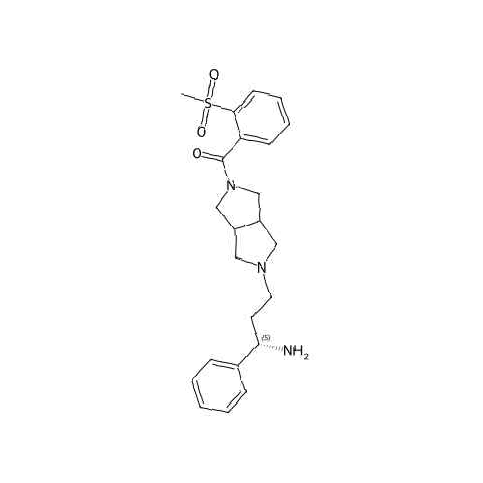 CS(=O)(=O)c1ccccc1C(=O)N1CC2CN(CC[C@H](N)c3ccccc3)CC2C1